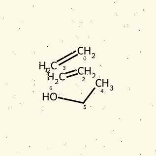 C=C.C=C.CCO